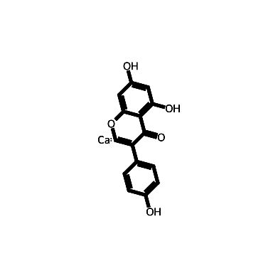 O=c1c(-c2ccc(O)cc2)coc2cc(O)cc(O)c12.[Ca]